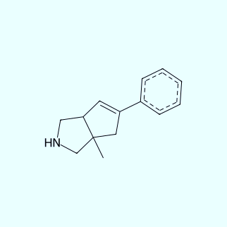 CC12CNCC1C=C(c1ccccc1)C2